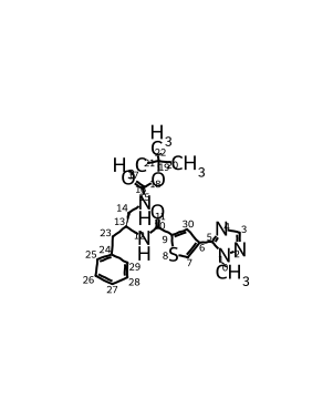 Cn1ncnc1-c1csc(C(=O)N[C@H](CNC(=O)OC(C)(C)C)Cc2ccccc2)c1